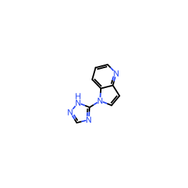 c1cnc2ccn(-c3ncn[nH]3)c2c1